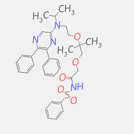 CC(C)N(CCOC(C)(C)COCC(=O)NS(=O)(=O)c1ccccc1)c1cnc(-c2ccccc2)c(-c2ccccc2)n1